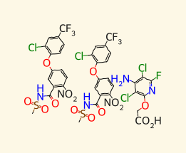 CS(=O)(=O)NC(=O)c1cc(Oc2ccc(C(F)(F)F)cc2Cl)ccc1[N+](=O)[O-].CS(=O)(=O)NC(=O)c1cc(Oc2ccc(C(F)(F)F)cc2Cl)ccc1[N+](=O)[O-].Nc1c(Cl)c(F)nc(OCC(=O)O)c1Cl